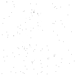 COc1cc2c(cc1-c1c(C)noc1C)ncc1nc(C3CCOCC3)n(Cc3cc(F)cc(C(F)(F)F)c3)c12